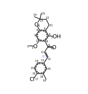 COc1cc2c(c(O)c1C(=O)/C=C/c1ccc(Cl)c(C)c1)CCC(C)(C)O2